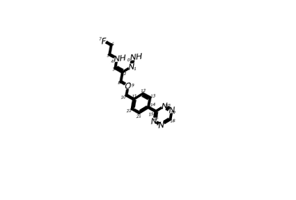 N=N/C(=C\NCCF)COCc1ccc(-c2nncnn2)cc1